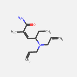 C=CCN(CC=C)C(C=C(C)C(N)=O)CC